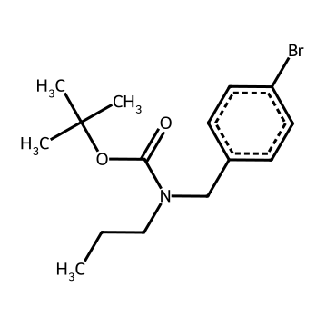 CCCN(Cc1ccc(Br)cc1)C(=O)OC(C)(C)C